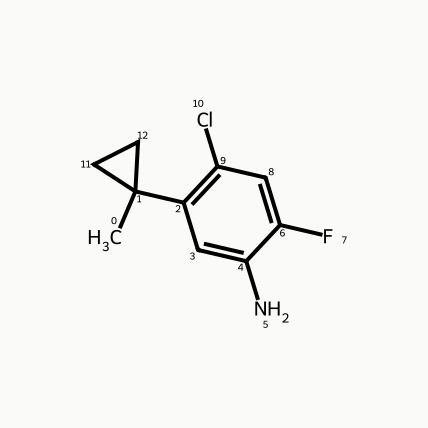 CC1(c2cc(N)c(F)cc2Cl)CC1